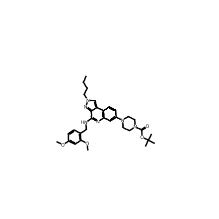 CCCCn1cc2c(n1)c(NCc1ccc(OC)cc1OC)nc1cc(N3CCN(C(=O)OC(C)(C)C)CC3)ccc12